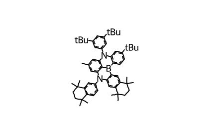 Cc1cc2c3c(c1)N(c1ccc4c(c1)C(C)(C)CCC4(C)C)c1cc4c(cc1B3c1ccc(C(C)(C)C)cc1N2c1cc(C(C)(C)C)cc(C(C)(C)C)c1)C(C)(C)CCC4(C)C